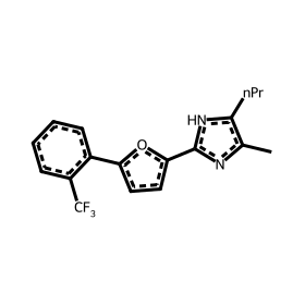 CCCc1[nH]c(-c2ccc(-c3ccccc3C(F)(F)F)o2)nc1C